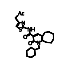 CC(=O)Cc1csc(NC(=O)c2cc3c(n(CC4CCCCC4)c2=O)CCCCCC3)n1